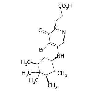 C[C@@H]1[C@@H](C)C(C)(C)[C@@H](C)C[C@H]1Nc1cnn(CCC(=O)O)c(=O)c1Br